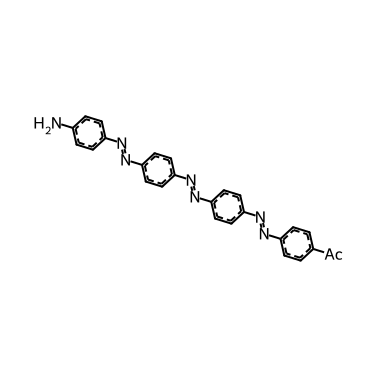 CC(=O)c1ccc(N=Nc2ccc(N=Nc3ccc(N=Nc4ccc(N)cc4)cc3)cc2)cc1